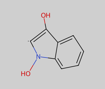 Oc1[c]n(O)c2ccccc12